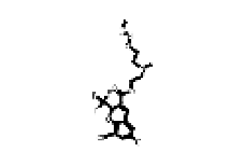 CONOCCN(C)CCOC(=O)C1=Cc2cc(Cl)cc(Cl)c2OC1C(F)(F)F